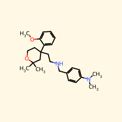 COc1ccccc1C1(CCNCc2ccc(N(C)C)cc2)CCOC(C)(C)C1